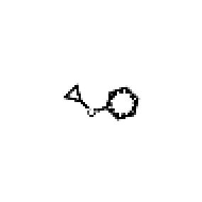 c1ccc(OC2CC2)cc1